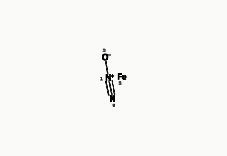 N#[N+][O-].[Fe]